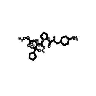 COC(=O)N[C@H](C(=S)N1CCC[C@H]1C(=O)NCC1CCC(N)CC1)C(C)(C)C1CCCC1